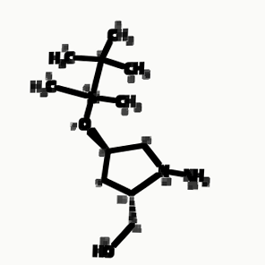 CC(C)(C)[Si](C)(C)O[C@@H]1C[C@@H](CO)N(N)C1